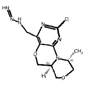 C[C@@H]1COC[C@H]2COc3c(CNN=N)nc(Cl)nc3N21